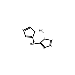 C1=CC[C]([ZrH][C]2=CC=CC2)=C1.Cl